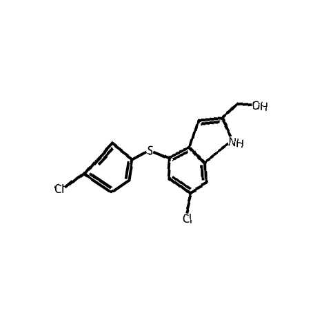 OCc1cc2c(Sc3ccc(Cl)cc3)cc(Cl)cc2[nH]1